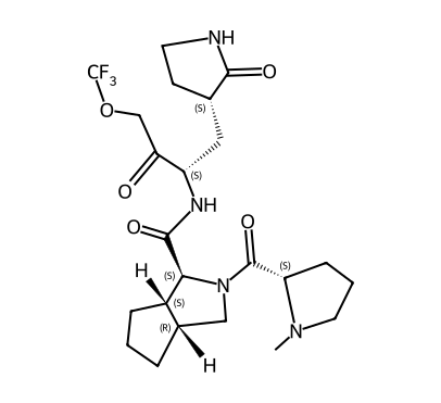 CN1CCC[C@H]1C(=O)N1C[C@@H]2CCC[C@@H]2[C@H]1C(=O)N[C@@H](C[C@@H]1CCNC1=O)C(=O)COC(F)(F)F